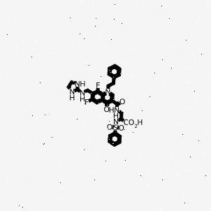 O=C(NCC(NS(=O)(=O)c1ccccc1)C(=O)O)c1cn(CCc2ccccc2)c2c(F)c(CNC3NCCN3)c(F)cc2c1=O